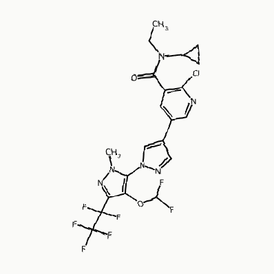 CCN(C(=O)c1cc(-c2cnn(-c3c(OC(F)F)c(C(F)(F)C(F)(F)F)nn3C)c2)cnc1Cl)C1CC1